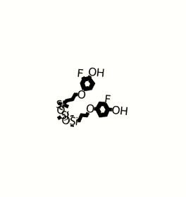 C[Si](C)(CCCOc1ccc(O)c(F)c1)O[Si](C)(C)O[Si](C)(C)CCCOc1ccc(O)c(F)c1